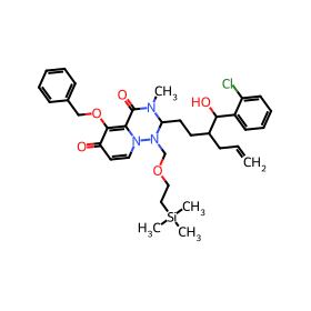 C=CCC(CCC1N(C)C(=O)c2c(OCc3ccccc3)c(=O)ccn2N1COCC[Si](C)(C)C)C(O)c1ccccc1Cl